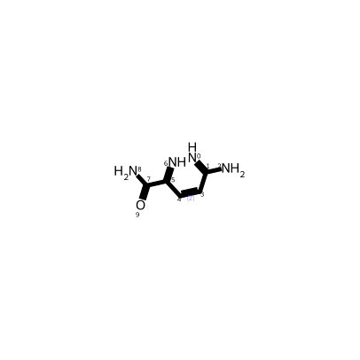 N=C(N)/C=C\C(=N)C(N)=O